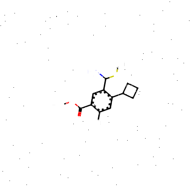 COC(=O)c1cc(C(N)SC)c(C2CCC2)cc1C